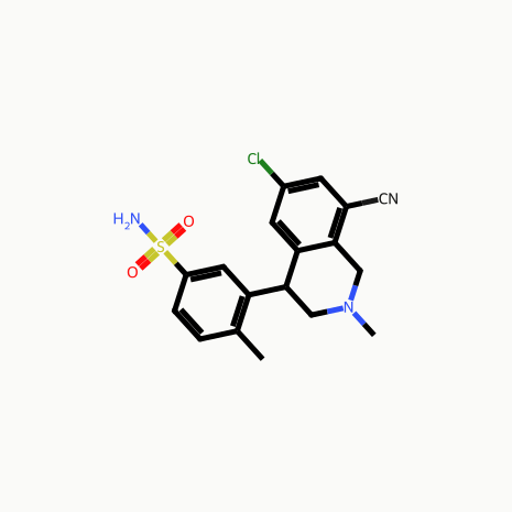 Cc1ccc(S(N)(=O)=O)cc1C1CN(C)Cc2c(C#N)cc(Cl)cc21